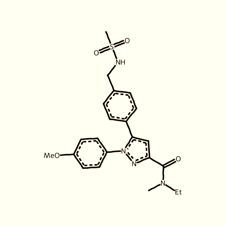 CCN(C)C(=O)c1cc(-c2ccc(CNS(C)(=O)=O)cc2)n(-c2ccc(OC)cc2)n1